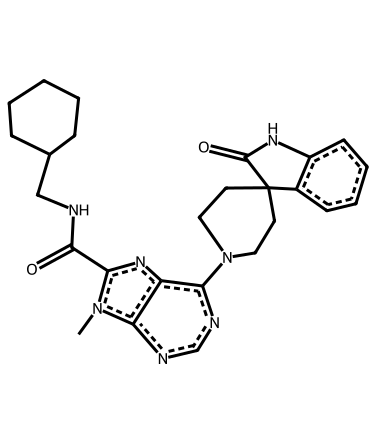 Cn1c(C(=O)NCC2CCCCC2)nc2c(N3CCC4(CC3)C(=O)Nc3ccccc34)ncnc21